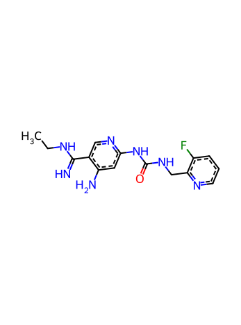 CCNC(=N)c1cnc(NC(=O)NCc2ncccc2F)cc1N